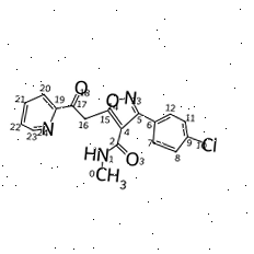 CNC(=O)c1c(-c2ccc(Cl)cc2)noc1CC(=O)c1ccccn1